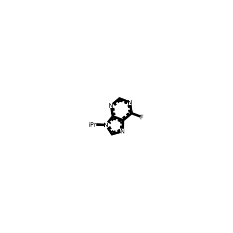 CC(C)n1cnc2c(F)ncnc21